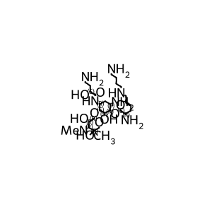 CN[C@@H]1[C@@H](O)[C@@H](O[C@@H]2[C@@H](O)[C@H](O[C@H]3OC(CNCCCCN)=CC[C@H]3N)[C@@H](N)C[C@H]2NC(=O)[C@@H](O)CCN)OC[C@]1(C)O